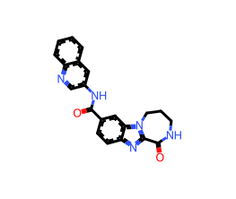 O=C(Nc1cnc2ccccc2c1)c1ccc2nc3n(c2c1)CCCNC3=O